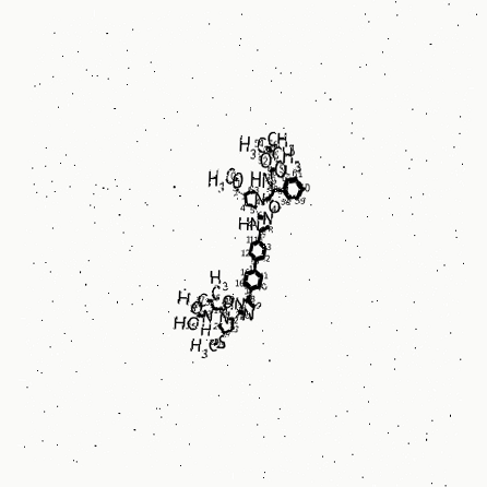 COC[C@H]1C[C@@H](c2ncc(-c3ccc(-c4ccc(-c5cnc([C@@H]6C[C@H](SC)CN6C(=O)[C@@H](NC(=O)O)C(C)C)[nH]5)cc4)cc3)[nH]2)N(C(=O)[C@H](NC(=O)OC(C)(C)C)c2ccccc2)C1